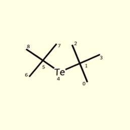 CC(C)(C)[Te]C(C)(C)C